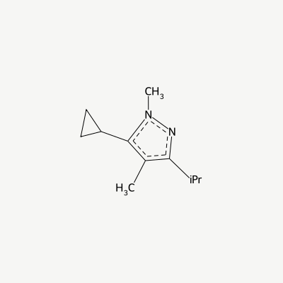 Cc1c(C(C)C)nn(C)c1C1CC1